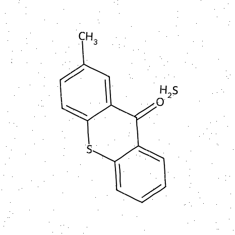 Cc1ccc2sc3ccccc3c(=O)c2c1.S